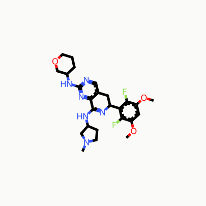 COc1cc(OC)c(F)c(C2Cc3cnc(NC4CCCOC4)nc3C(NC3CCN(C)C3)=N2)c1F